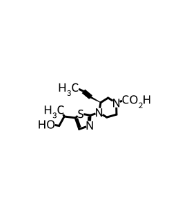 CC#C[C@H]1CN(C(=O)O)CCN1c1ncc(C(C)CO)s1